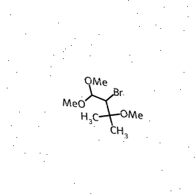 COC(OC)C(Br)C(C)(C)OC